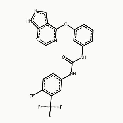 O=C(Nc1cccc(Oc2ncnc3[nH]ncc23)c1)Nc1ccc(Cl)c(C(F)(F)F)c1